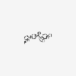 CCC(Cl)/C=C\C1=C(C)OCCN1C(=O)N1CCN(c2cccc(F)n2)CC1